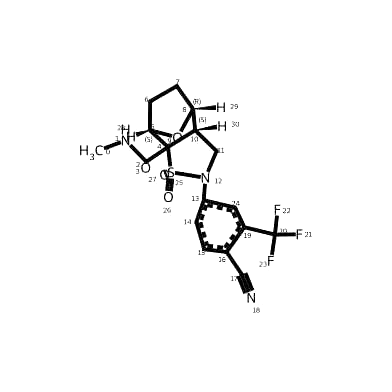 CNC(=O)C12[C@@H]3CC[C@@H](O3)[C@@H]1CN(c1ccc(C#N)c(C(F)(F)F)c1)S2(=O)=O